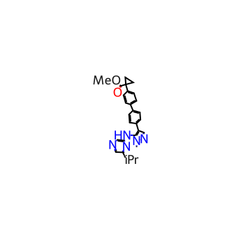 COC(=O)C1(c2ccc(-c3ccc(-c4cnn(C)c4Nc4cncc(C(C)C)n4)cc3)cc2)CC1